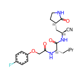 CC(C)C[C@H](NC(=O)COc1ccc(F)cc1)C(=O)N[C@H](C#N)C[C@@H]1CCNC1=O